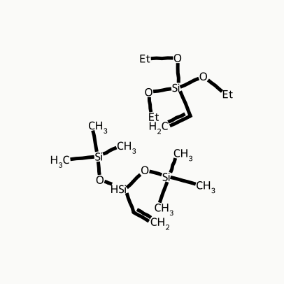 C=C[SiH](O[Si](C)(C)C)O[Si](C)(C)C.C=C[Si](OCC)(OCC)OCC